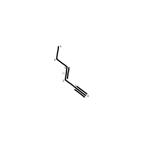 [C]#C/C=C/CC